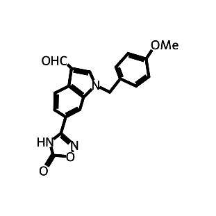 COc1ccc(Cn2cc(C=O)c3ccc(-c4noc(=O)[nH]4)cc32)cc1